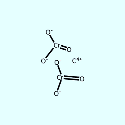 [C+4].[O]=[Cr]([O-])[O-].[O]=[Cr]([O-])[O-]